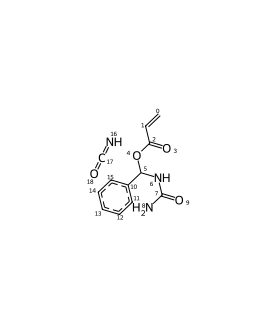 C=CC(=O)OC(NC(N)=O)c1ccccc1.N=C=O